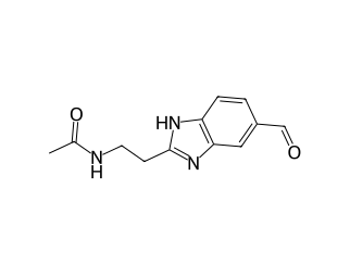 CC(=O)NCCc1nc2cc(C=O)ccc2[nH]1